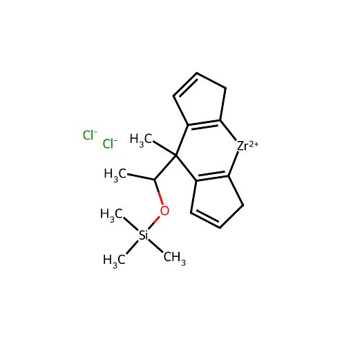 CC(O[Si](C)(C)C)C1(C)C2=[C](CC=C2)[Zr+2][C]2=C1C=CC2.[Cl-].[Cl-]